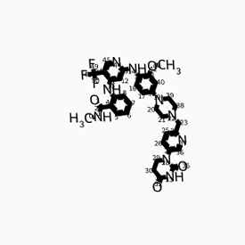 CNC(=O)c1ccccc1Nc1cc(Nc2ccc(N3CCN(Cc4ccc(N5CCC(=O)NC5=O)cn4)CC3)cc2OC)ncc1C(F)(F)F